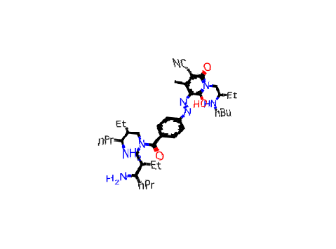 CCCCNC(CC)Cn1c(O)c(/N=N/c2ccc(C(=O)N(CC(CC)C(N)CCC)CC(CC)C(N)CCC)cc2)c(C)c(C#N)c1=O